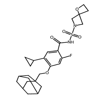 O=C(NS(=O)(=O)N1CC2(CCO2)C1)c1cc(C2CC2)c(OCC23CC4CC(CC(C4)C2)C3)cc1F